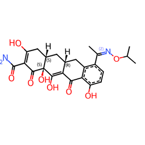 C/C(=N/OC(C)C)c1ccc(O)c2c1C[C@H]1C[C@H]3CC(O)=C(C(N)=O)C(=O)[C@@]3(O)C(O)=C1C2=O